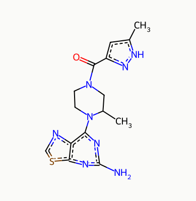 Cc1cc(C(=O)N2CCN(c3nc(N)nc4scnc34)C(C)C2)n[nH]1